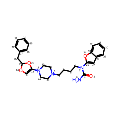 NC(=O)N(CCCCN1CCN(C2=COC(Cc3ccccc3)O2)CC1)c1cc2ccccc2o1